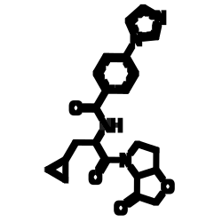 O=C(NC(CC1CC1)C(=O)N1CCC2OCC(=O)C21)c1ccc(-n2ccnc2)cc1